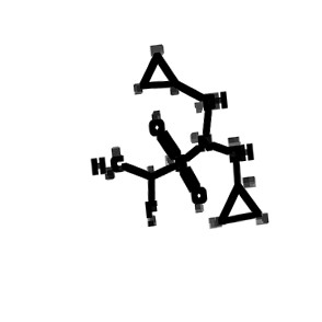 CC(F)S(=O)(=O)N(BC1CC1)BC1CC1